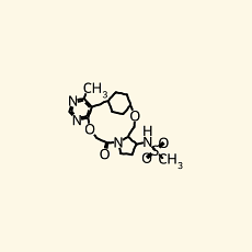 Cc1ncnc2c1C1CCC(CC1)OCC1C(NS(C)(=O)=O)CCN1C(=O)CO2